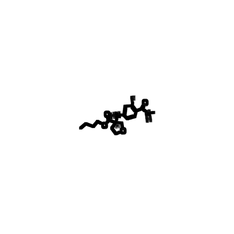 CCCCOC(=O)[C@@]1(Nc2ccc(C(=O)NC)c(F)c2)CCOC1